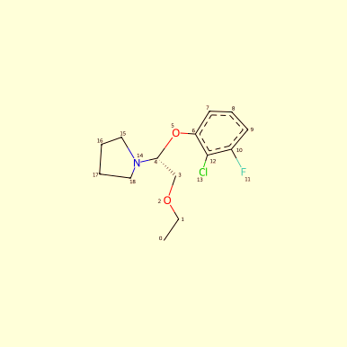 CCOC[C@@H](Oc1cccc(F)c1Cl)N1CCCC1